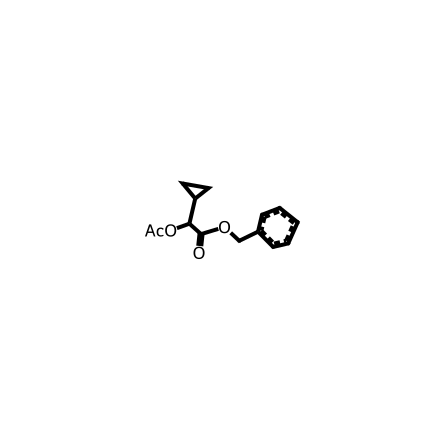 CC(=O)OC(C(=O)OCc1ccccc1)C1CC1